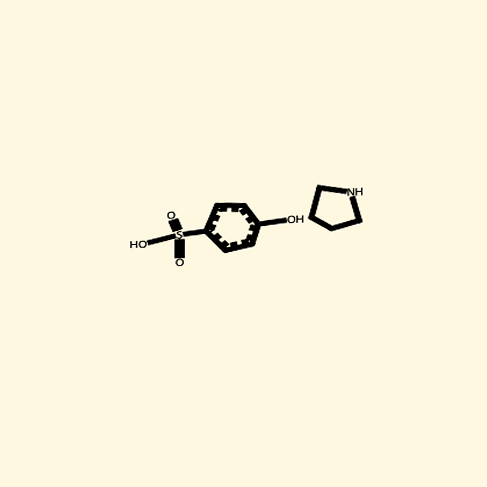 C1CCNC1.O=S(=O)(O)c1ccc(O)cc1